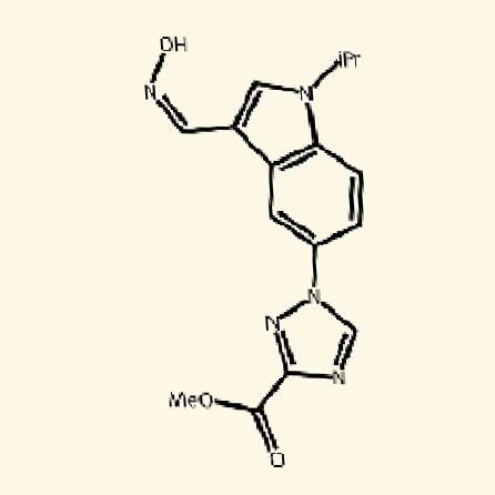 COC(=O)c1ncn(-c2ccc3c(c2)c(/C=N\O)cn3C(C)C)n1